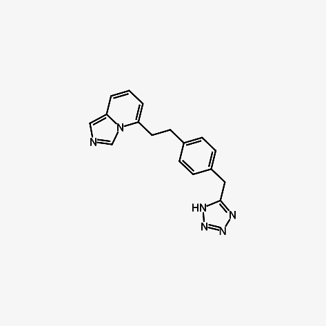 c1cc(CCc2ccc(Cc3nnn[nH]3)cc2)n2cncc2c1